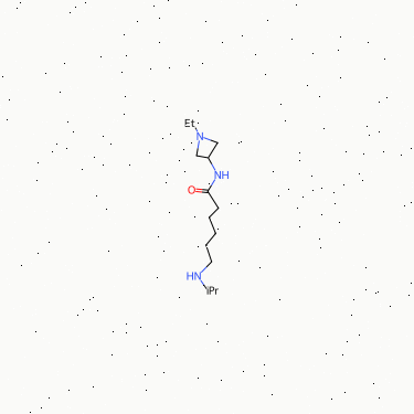 CCN1CC(NC(=O)CCCCCNC(C)C)C1